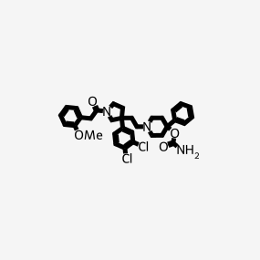 COc1ccccc1CC(=O)N1CCC(CCN2CCC(OC(N)=O)(c3ccccc3)CC2)(c2ccc(Cl)c(Cl)c2)C1